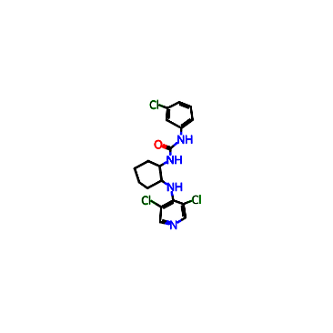 O=C(Nc1cccc(Cl)c1)NC1CCCCC1Nc1c(Cl)cncc1Cl